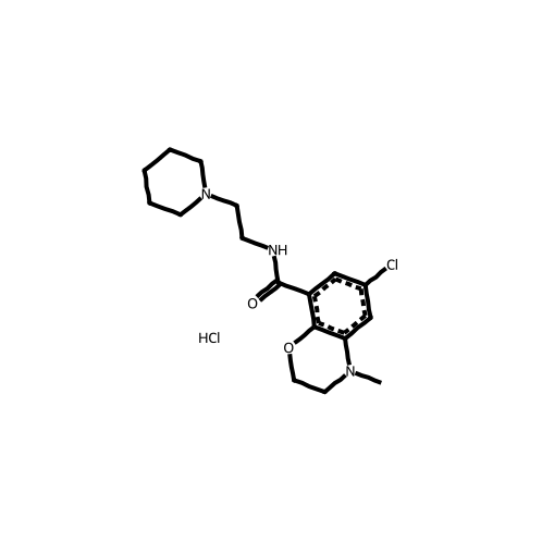 CN1CCOc2c(C(=O)NCCN3CCCCC3)cc(Cl)cc21.Cl